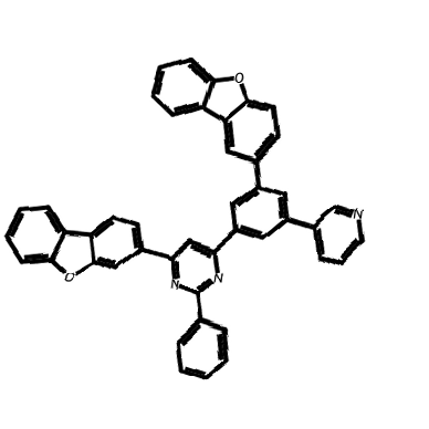 c1ccc(-c2nc(-c3cc(-c4cccnc4)cc(-c4ccc5oc6ccccc6c5c4)c3)cc(-c3ccc4c(c3)oc3ccccc34)n2)cc1